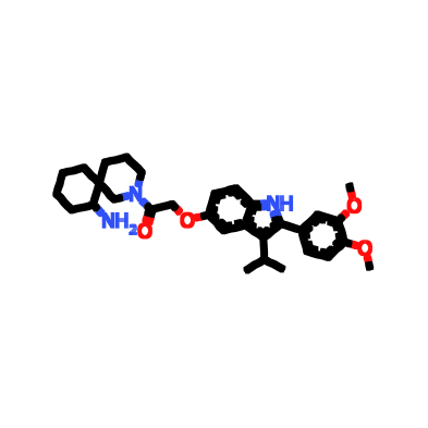 COc1ccc(-c2[nH]c3ccc(OCC(=O)N4CCCC5(CCCCC5N)C4)cc3c2C(C)C)cc1OC